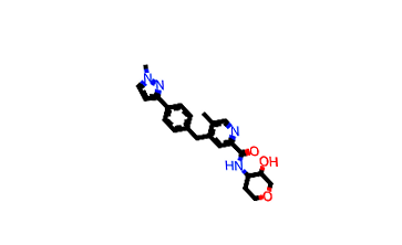 Cc1cnc(C(=O)NC2CCOCC2O)cc1Cc1ccc(-c2ccn(C)n2)cc1